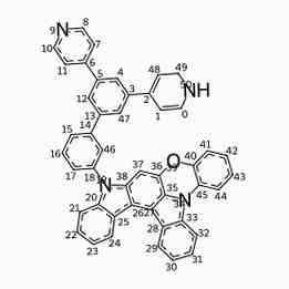 C1=CC(c2cc(-c3ccncc3)cc(-c3cccc(-n4c5ccccc5c5c6c7ccccc7n7c6c(cc54)Oc4ccccc4-7)c3)c2)=CCN1